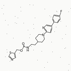 O=C(NCCC1CCN(c2ccc(-c3ccc(F)cc3)cn2)CC1)OCc1cncs1